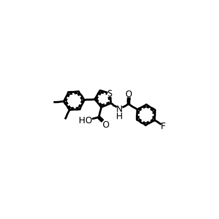 Cc1ccc(-c2csc(NC(=O)c3ccc(F)cc3)c2C(=O)O)cc1C